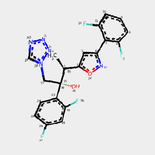 C[C@@H](c1cc(-c2c(F)cccc2F)no1)[C@](O)(Cn1cnnn1)c1ccc(F)cc1F